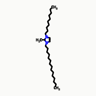 CCCCCCCCCCCCCCCN1C=CN(CCCCCCCCCC)C1C